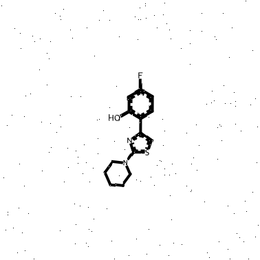 Oc1cc(F)ccc1-c1csc(N2CCCCC2)n1